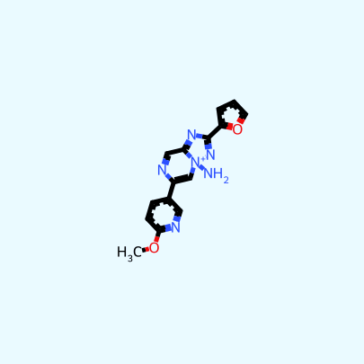 COc1ccc(C2=C[N+]3(N)N=C(c4ccco4)N=C3C=N2)cn1